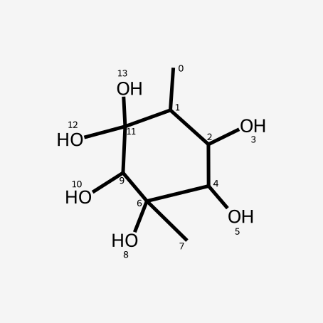 CC1C(O)C(O)C(C)(O)C(O)C1(O)O